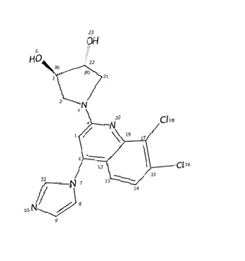 O[C@@H]1CN(c2cc(-n3ccnc3)c3ccc(Cl)c(Cl)c3n2)C[C@H]1O